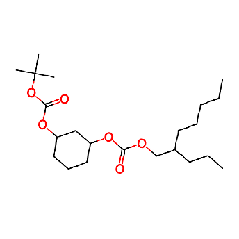 CCCCCC(CCC)COC(=O)OC1CCCC(OC(=O)OC(C)(C)C)C1